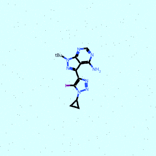 CC(C)(C)n1nc(-c2nnn(C3CC3)c2I)c2c(N)ncnc21